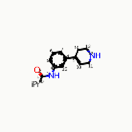 CC(C)C(=O)Nc1cccc(C2=CCNCC2)c1